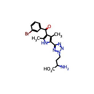 Cc1[nH]c(-c2nnn(CCC(N)C(=O)O)n2)c(C)c1C(=O)c1cccc(Br)c1